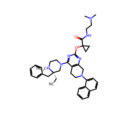 CN(C)CCNC(=O)C1(Oc2nc3c(c(N4CCN(C(=O)O)[C@](CC#N)(Cc5ccccc5)C4)n2)CCN(c2cccc4ccccc24)C3)CC1